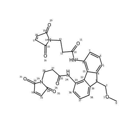 COCC1c2cccc(NC(=O)CCN3C(=O)C=CC3=O)c2-c2c(NC(=O)CCN3C(=O)C=CC3=O)cccc21